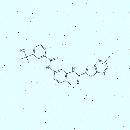 Cc1cnc2sc(C(=O)Nc3cc(NC(=O)c4cccc(C(C)(C)C#N)c4)ccc3C)cc2n1